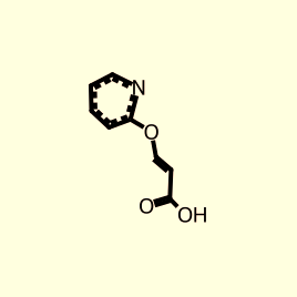 O=C(O)C=COc1ccccn1